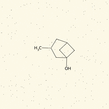 CC1CC2CC(O)(C1)C2